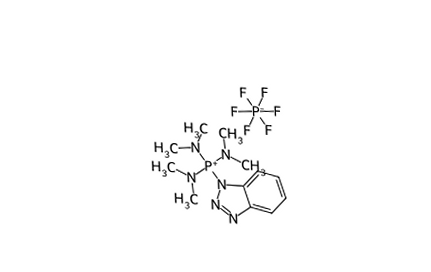 CN(C)[P+](N(C)C)(N(C)C)n1nnc2ccccc21.F[P-](F)(F)(F)(F)F